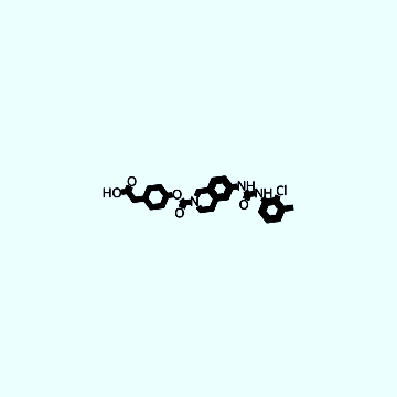 Cc1cccc(NC(=O)Nc2ccc3c(c2)CCN(C(=O)OC2CCC(CC(=O)O)CC2)C3)c1Cl